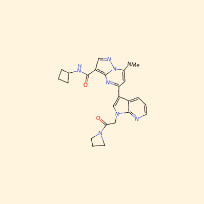 CNc1cc(-c2cn(CC(=O)N3CCC3)c3ncccc23)nc2c(C(=O)NC3CCC3)cnn12